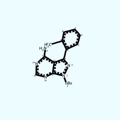 CCCCn1nc(-c2ccccc2C)c2c(N)ncnc21